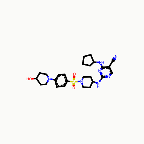 N#Cc1cnc(NC2CCN(S(=O)(=O)c3ccc(N4CCC(O)CC4)cc3)CC2)nc1NC1CCCC1